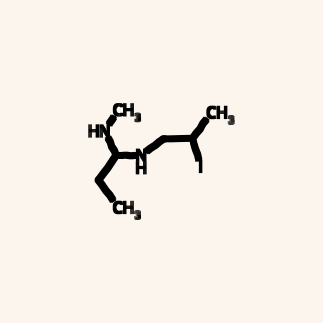 CCC(NC)NCC(C)I